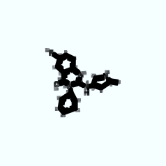 C=C1C=C(Nc2nc3ccc(F)cc3c(=O)n2-c2ccccc2)C=N1